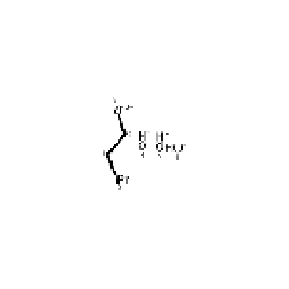 CC(C)C[CH2][Zr+3].[OH-].[OH-].[OH-]